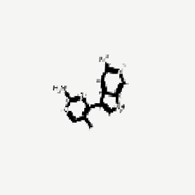 Cc1cnc(N)nc1-c1c[nH]c2cnc(Br)cc12